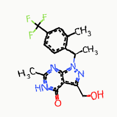 Cc1nc2c(c(CO)nn2[C@H](C)c2ccc(C(F)(F)F)cc2C)c(=O)[nH]1